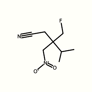 CC(C)C(CF)(CC#N)C[N+](=O)[O-]